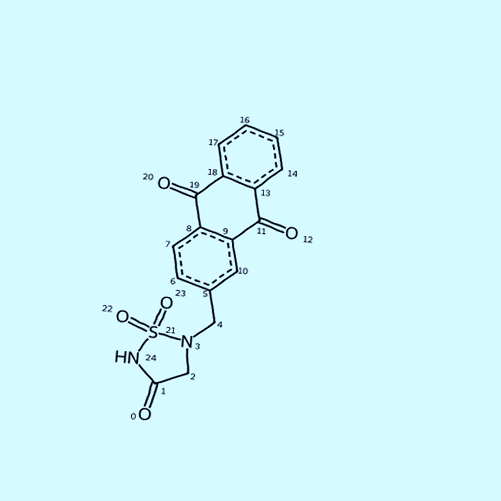 O=C1CN(Cc2ccc3c(c2)C(=O)c2ccccc2C3=O)S(=O)(=O)N1